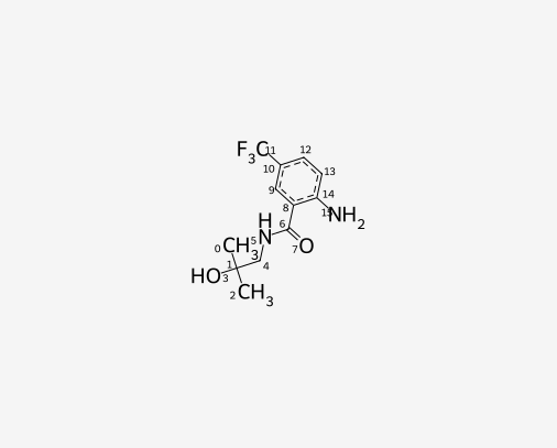 CC(C)(O)CNC(=O)c1cc(C(F)(F)F)ccc1N